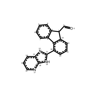 O=CC1c2ccccc2-c2c(-c3nc4cccnc4[nH]3)cccc21